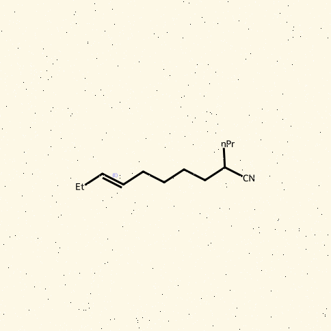 CC/C=C/CCCCC(C#N)CCC